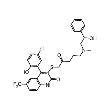 CN(CCCC(=O)CSc1c(-c2cc(Cl)ccc2O)c2cc(C(F)(F)F)ccc2[nH]c1=O)CC(O)c1ccccc1